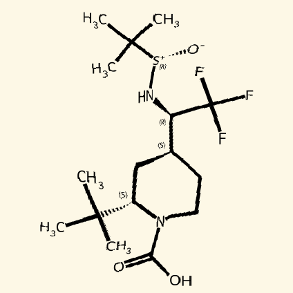 CC(C)(C)[C@@H]1C[C@@H]([C@@H](N[S@@+]([O-])C(C)(C)C)C(F)(F)F)CCN1C(=O)O